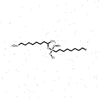 CCCCCCCCCCCCCCCCCC(C)O[Si](CCCCCCCCF)(OCC)OCC